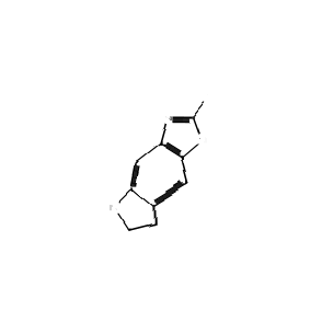 Sc1nc2cc3c(cc2[nH]1)CCN3